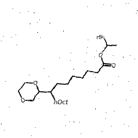 CCCCCCCCC(CCCCCCC(=O)OC(C)CCCC)C1COCCO1